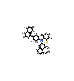 C1=Cc2cccc3cc4c(c(c23)C1)Sc1ccccc1N4c1ccc(-c2cccc3ccccc23)cc1